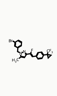 Cc1cc(C(F)=Cc2ccc(C3(C(F)(F)F)CC3)cc2)nn1Cc1cccc(Br)c1